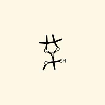 COC(C)(S)B1OC(C)(C)C(C)(C)O1